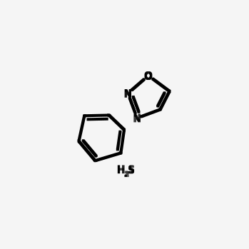 S.c1ccccc1.c1conn1